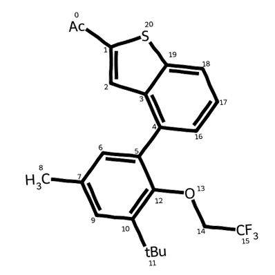 CC(=O)c1cc2c(-c3cc(C)cc(C(C)(C)C)c3OCC(F)(F)F)cccc2s1